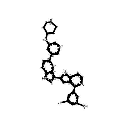 Oc1cc(F)cc(-c2nccc3[nH]c(-c4n[nH]c5ccc(-c6cncc(OC7CCNCC7)c6)nc45)cc23)c1